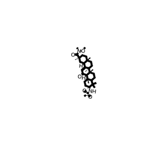 CON(C)C(=O)[C@@]1(C)CC[C@]2(C)CC[C@]3(C)C(=CC(=O)[C@@H]4[C@@]5(C)CC[C@@H](NS(C)(=O)=O)C(C)(C)C5CC[C@]43C)[C@@H]2C1